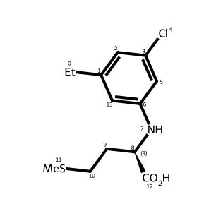 CCc1cc(Cl)cc(N[C@H](CCSC)C(=O)O)c1